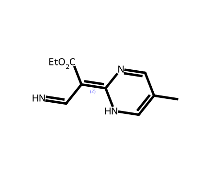 CCOC(=O)/C(C=N)=C1\N=CC(C)=CN1